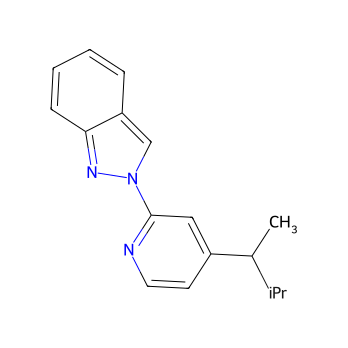 CC(C)C(C)c1ccnc(-n2cc3ccccc3n2)c1